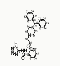 O=C(Nc1nnn[nH]1)c1cccnc1OCCN1CCN(C(c2ccccc2)c2ccccc2)CC1